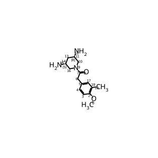 COc1ccc(CC(=O)N2C[C@H](N)C[C@H](N)C2)cc1C